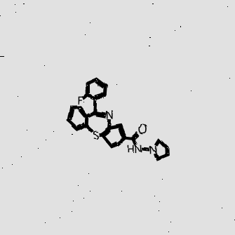 O=C(NN1CCCC1)c1ccc2c(c1)N=C(c1ccccc1F)c1ccccc1S2